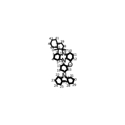 CC12c3cccc4c3N(c3cccc5c3N4c3ccc(-n4c6ccccc6c6ccccc64)cc3O5)C1(C)CCC1CCCCC12